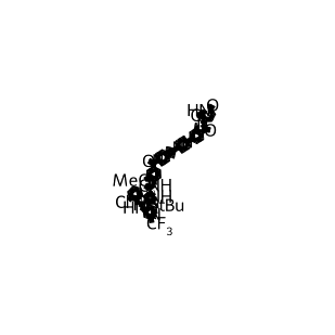 COc1cc(C(=O)N2CCC3(CC2)CC(N2CCN(c4ccc5c(c4)CN(C4CCC(=O)NC4=O)C5=O)CC2)C3)ccc1NC(=O)[C@@H]1N[C@@H](CC(C)(C)C)[C@@]2(CNc3cc(C(F)(F)F)ncc32)[C@H]1c1cccc(Cl)c1F